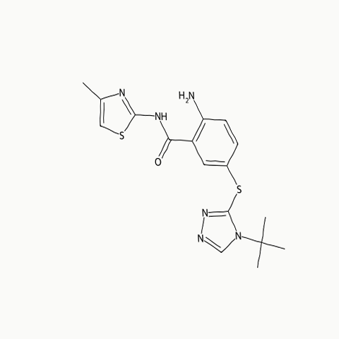 Cc1csc(NC(=O)c2cc(Sc3nncn3C(C)(C)C)ccc2N)n1